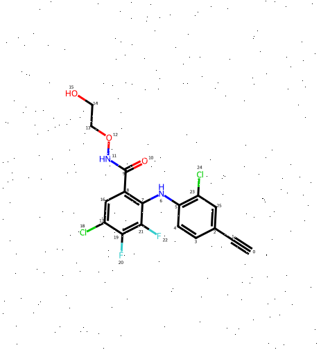 C#Cc1ccc(Nc2c(C(=O)NOCCO)cc(Cl)c(F)c2F)c(Cl)c1